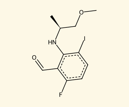 COC[C@H](C)Nc1c(I)ccc(F)c1C=O